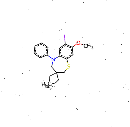 CCC1(CC)CSc2cc(OC)c(I)cc2N(c2ccccc2)C1